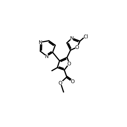 COC(=O)c1oc(-c2cnc(Cl)o2)c(-c2ccncn2)c1C